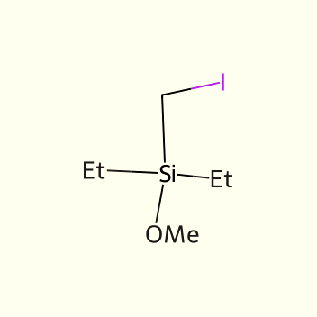 CC[Si](CC)(CI)OC